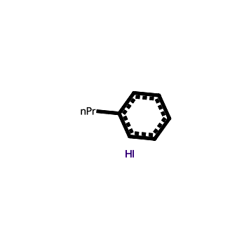 CCCc1ccccc1.I